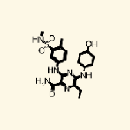 CCc1nc(C(N)=O)c(Nc2ccc(C)c(S(=O)(=O)NC)c2)nc1N[C@H]1CC[C@H](O)CC1